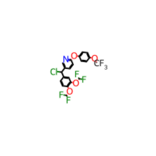 FC(F)Oc1ccc(C(Cl)c2ccc(Oc3ccc(OC(F)(F)F)cc3)nc2)cc1OC(F)F